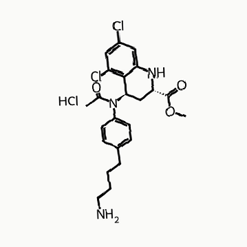 COC(=O)[C@@H]1C[C@@H](N(C(C)=O)c2ccc(CCCCN)cc2)c2c(Cl)cc(Cl)cc2N1.Cl